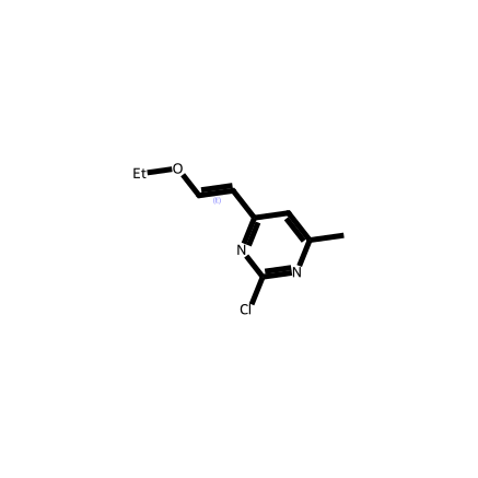 CCO/C=C/c1cc(C)nc(Cl)n1